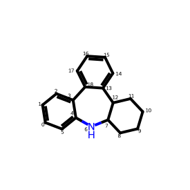 c1ccc2c(c1)NC1CCCCC1c1ccccc1-2